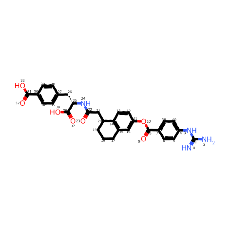 N=C(N)Nc1ccc(C(=O)Oc2ccc3c(c2)CCCC3CC(=O)N[C@@H](Cc2ccc(C(=O)O)cc2)C(=O)O)cc1